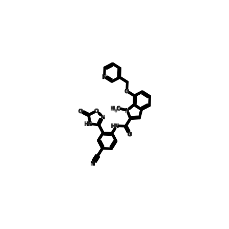 Cn1c(C(=O)Nc2ccc(C#N)cc2-c2noc(=O)[nH]2)cc2cccc(OCc3cccnc3)c21